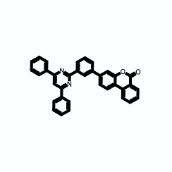 O=c1oc2cc(-c3cccc(-c4nc(-c5ccccc5)cc(-c5ccccc5)n4)c3)ccc2c2ccccc12